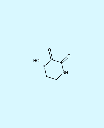 Cl.O=C1NCCSC1=O